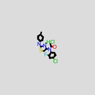 CC(=O)N(c1ccc(Cl)cc1F)C1CSC(=Nc2ccc(C)cc2)N1C.Cl